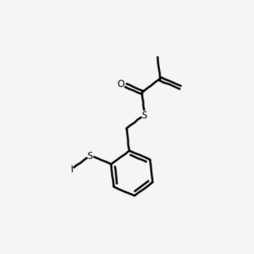 C=C(C)C(=O)SCc1ccccc1SI